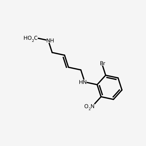 O=C(O)NCC=CCNc1c(Br)cccc1[N+](=O)[O-]